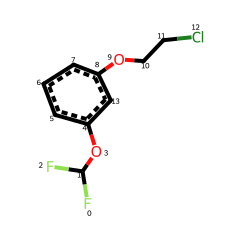 FC(F)Oc1c[c]cc(OCCCl)c1